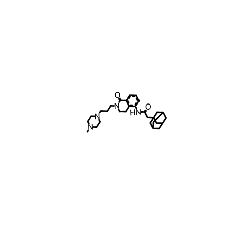 CN1CCN(CCCN2CCc3c(NC(=O)CC45CC6CC(CC(C6)C4)C5)cccc3C2=O)CC1